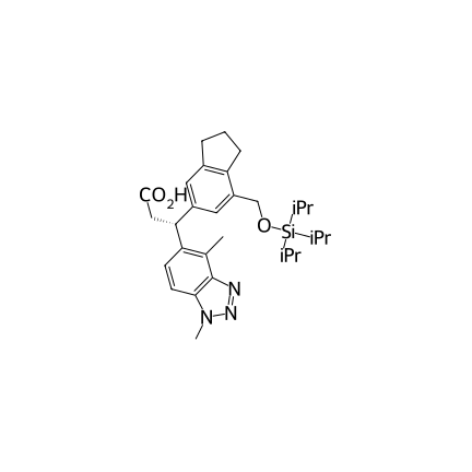 Cc1c([C@H](CC(=O)O)c2cc3c(c(CO[Si](C(C)C)(C(C)C)C(C)C)c2)CCC3)ccc2c1nnn2C